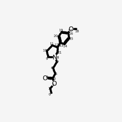 CCOC(=O)CCCN1CCCC(c2ccc(OC)cc2)C1